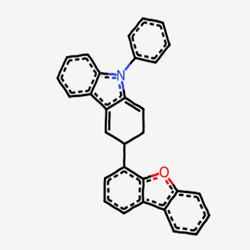 C1=c2c(n(-c3ccccc3)c3ccccc23)=CCC1c1cccc2c1oc1ccccc12